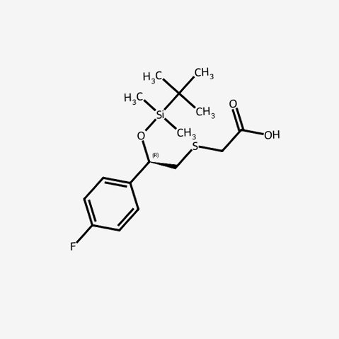 CC(C)(C)[Si](C)(C)O[C@@H](CSCC(=O)O)c1ccc(F)cc1